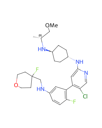 COC[C@@H](C)N[C@H]1CC[C@H](Nc2cc(-c3cc(NCC4(F)CCOCC4)ccc3F)c(Cl)cn2)CC1